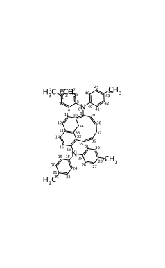 C=C(C)/C=C\C(=C/C)N(C1=C2\C=Cc3ccc(N(c4ccc(C)cc4)c4ccc(C)cc4)c(c3C2)/C=C\C/C=C\1)c1ccc(C)cc1